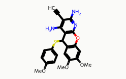 C#Cc1c(N)nc2c(c1N)C(Sc1ccc(OC)cc1)c1cc(OC)c(OC)cc1O2